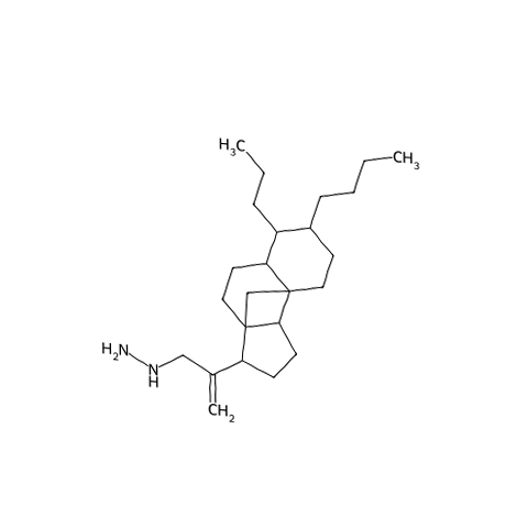 C=C(CNN)C1CCC2C13CCC1C(CCC)C(CCCC)CCC12C3